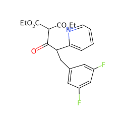 CCOC(=O)C(C(=O)OCC)C(=O)C(Cc1cc(F)cc(F)c1)c1ccccn1